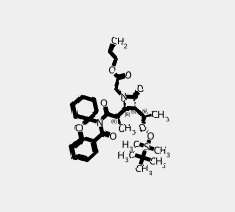 C=CCOC(=O)CN1C(=O)[C@H]([C@@H](C)OO[Si](C)(C)C(C)(C)C)[C@H]1[C@@H](C)C(=O)N1C(=O)c2ccccc2OC12CCCCC2